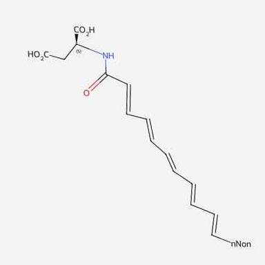 CCCCCCCCCC=CC=CC=CC=CC=CC(=O)N[C@@H](CC(=O)O)C(=O)O